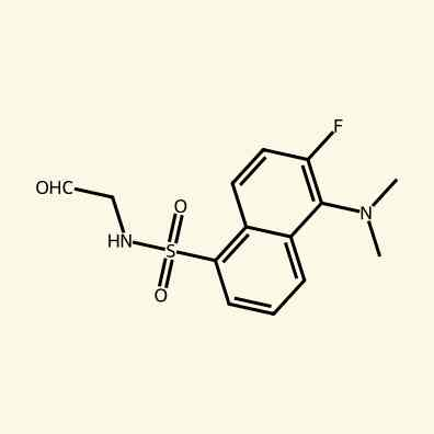 CN(C)c1c(F)ccc2c(S(=O)(=O)NCC=O)cccc12